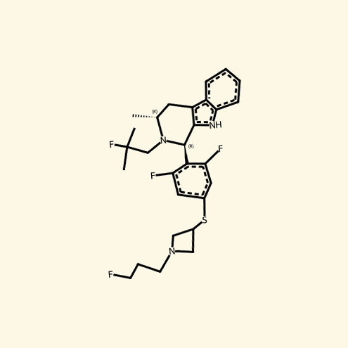 C[C@@H]1Cc2c([nH]c3ccccc23)[C@@H](c2c(F)cc(SC3CN(CCCF)C3)cc2F)N1CC(C)(C)F